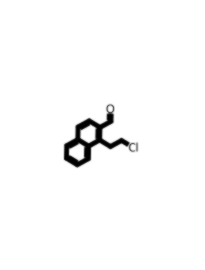 O=Cc1ccc2ccccc2c1CCCl